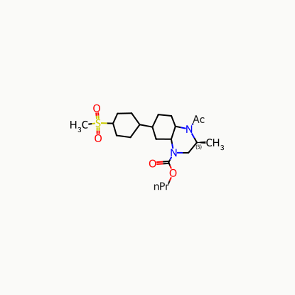 CCCOC(=O)N1C[C@H](C)N(C(C)=O)C2CCC(C3CCC(S(C)(=O)=O)CC3)CC21